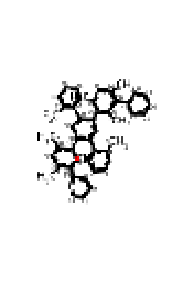 Cc1ccccc1-c1cc(-c2c(C)cc(C)c(-c3ccccc3)c2C)c(-c2ccccc2C(F)(F)F)cc1-c1c(C)cc(C)c(-c2ccccc2)c1C